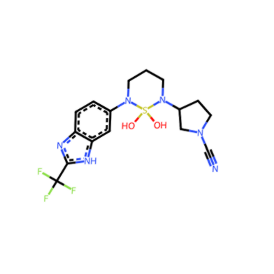 N#CN1CCC(N2CCCN(c3ccc4nc(C(F)(F)F)[nH]c4c3)S2(O)O)C1